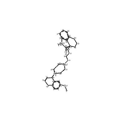 COc1ccc2c(c1)C(N1CCN(CCCCC34CCCc5cccc(c53)NC4=O)CC1)CCC2